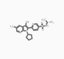 C[C@@H](NS(=O)(=O)c1ccc(-c2c(C#N)c3cc(C(F)(F)F)cnc3n2C2CCCC2)nc1)C(F)(F)F